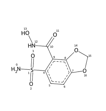 NS(=O)(=O)c1ccc2c(c1C(=O)NO)OCO2